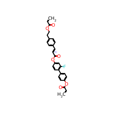 C=CC(=O)OCCc1ccc(/C=C/C(=O)Oc2ccc(-c3ccc(OC(=O)C=C)cc3)c(F)c2)cc1